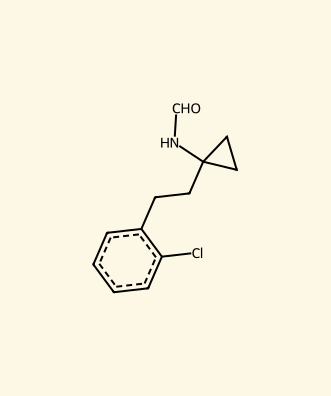 O=CNC1(CCc2ccccc2Cl)CC1